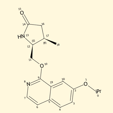 CC(C)Oc1ccc2ccnc(OC[C@H]3NC(=O)C[C@H]3C)c2c1